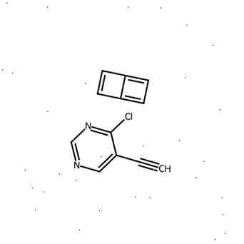 C#Cc1cncnc1Cl.c1cc2ccc1-2